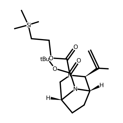 C=C(C)[C@H]1[C@@H]2CC[C@H](CN1C(=O)OCC[Si](C)(C)C)N2C(=O)OC(C)(C)C